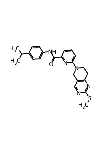 CSc1ncc2c(n1)CCN(c1cccc(C(=O)Nc3ccc(C(C)C)cc3)n1)C2